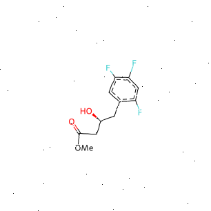 COC(=O)C[C@@H](O)Cc1cc(F)c(F)cc1F